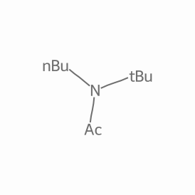 CCCCN(C(C)=O)C(C)(C)C